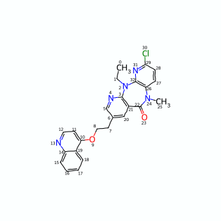 CCN1c2ncc(CCOc3ccnc4ccccc34)cc2C(=O)N(C)c2ccc(Cl)nc21